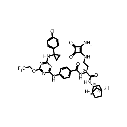 Nc1c(NCC[C@H](NC(=O)c2ccc(Nc3nc(NC4(c5ccc(Cl)cc5)CC4)nc(OCC(F)(F)F)n3)cc2)C(=O)N[C@@H]2C[C@H]3CC[C@@H]2C3)c(=O)c1=O